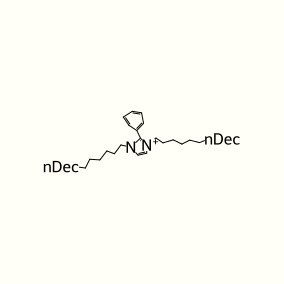 CCCCCCCCCCCCCCCCn1cc[n+](CCCCCCCCCCCCCCCC)c1-c1ccccc1